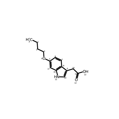 CCCCOc1ccc2c(CC(=O)O)c[nH]c2c1